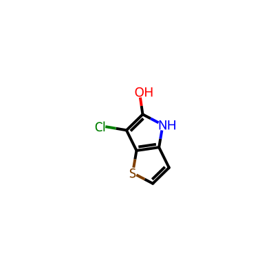 Oc1[nH]c2ccsc2c1Cl